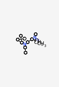 CC/C=C\c1c(C)c2cc(-c3ccc(N(c4ccc(-c5ccccc5)cc4)c4ccc5c(c4)C(C4=CCCC=C4)(c4ccccc4)c4ccccc4-5)cc3)ccc2n1-c1ccccc1